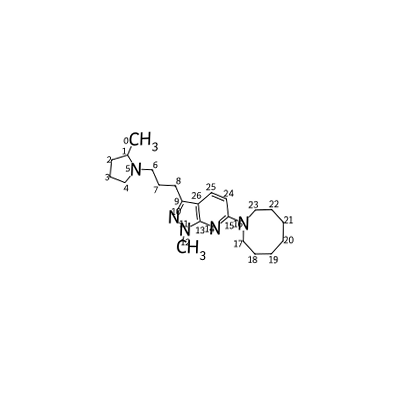 CC1CCCN1CCCc1nn(C)c2nc(N3CCCCCCC3)ccc12